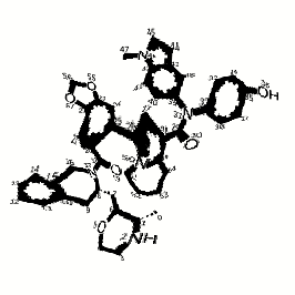 C[C@@H]1NCCOC1C[C@@H]1Cc2ccccc2CN1C(=O)c1cc2c(cc1-c1cc(C(=O)N(c3ccc(O)cc3)c3ccc4c(ccn4C)c3)c3n1CCCC3)OCO2